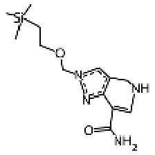 C[Si](C)(C)CCOCn1cc2c(n1)C(C(N)=O)=CNC2